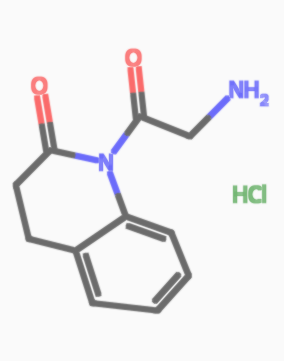 Cl.NCC(=O)N1C(=O)CCc2ccccc21